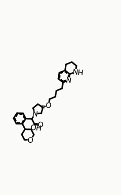 O=C(O)C(c1ccccc1C1CCOCC1)N1CC[C@@H](OCCCCc2ccc3c(n2)NCCC3)C1